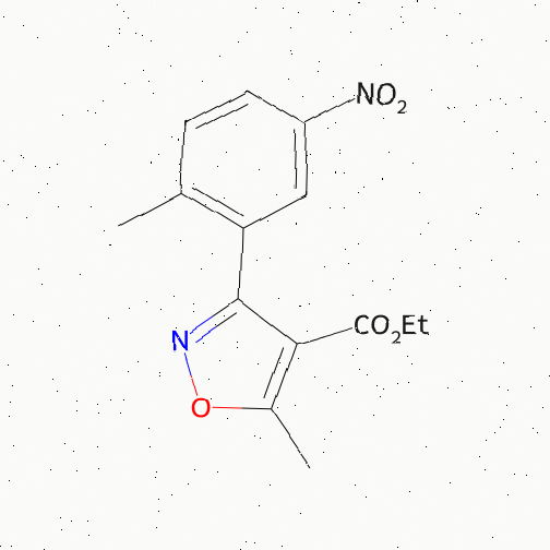 CCOC(=O)c1c(-c2cc([N+](=O)[O-])ccc2C)noc1C